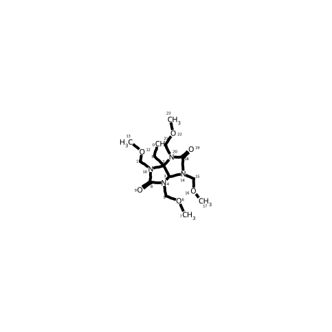 CCC12C(N(COC)C(=O)N1COC)N(COC)C(=O)N2COC